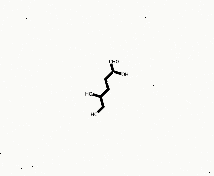 O=CC(O)CCC(O)CO